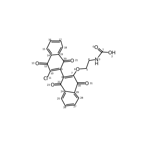 O=C(O)NCCOC1=C(C2=C(Cl)C(=O)c3ccccc3C2=O)C(=O)c2ccccc2C1=O